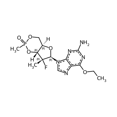 CCOc1nc(N)nc2c1ncn2[C@@H]1O[C@@H]2COP(C)(=O)O[C@H]2[C@@]1(C)F